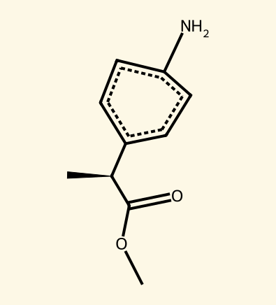 COC(=O)[C@@H](C)c1ccc(N)cc1